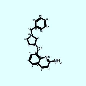 Nc1ccc2cccc(O[C@H]3CCN(Cc4ccccc4)C3)c2n1